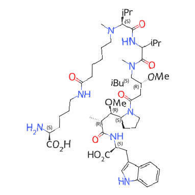 CC[C@H](C)C([C@@H](CC(=O)N1CCC[C@H]1[C@H](OC)[C@@H](C)C(=O)N[C@@H](Cc1c[nH]c2ccccc12)C(=O)O)OC)N(C)C(=O)C(NC(=O)[C@H](C(C)C)N(C)CCCCCC(=O)NCCCC[C@H](N)C(=O)O)C(C)C